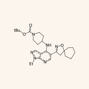 CCn1ncc2c(NC3CCN(C(=O)OC(C)(C)C)CC3)c(C3=NOC4(CCCCC4)C3)cnc21